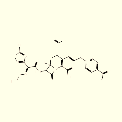 CON=C(C(=O)NC1C(=O)N2C(C(=O)O)=C(C=CC[n+]3ccc(C(N)=O)cc3)CS[C@@H]12)c1nsc(N)n1.O=C[O-]